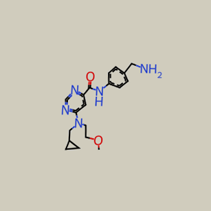 COCCN(CC1CC1)c1cc(C(=O)Nc2ccc(CN)cc2)ncn1